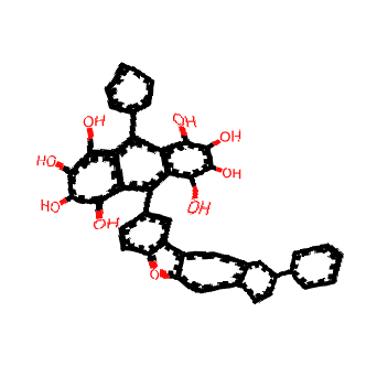 Oc1c(O)c(O)c2c(-c3ccc4oc5cc6ccc(-c7ccccc7)cc6cc5c4c3)c3c(O)c(O)c(O)c(O)c3c(-c3ccccc3)c2c1O